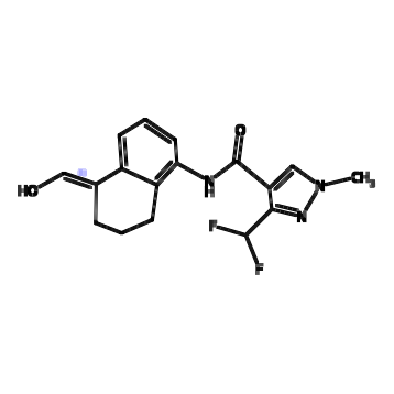 Cn1cc(C(=O)Nc2cccc3c2CCC/C3=C\O)c(C(F)F)n1